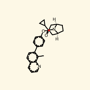 Cc1c(-c2ccc(O[C@H]3C[C@H]4CC[C@@H](C3)N4C(=O)C3CC3)cc2)ccc2cccnc12